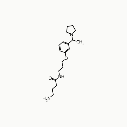 CC(c1cccc(OCCCNC(=O)CCCN)c1)N1CCCC1